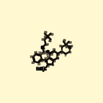 CCOC(=O)c1cc2cc(C3CCOC(C)(C)C3)ccc2n1-c1ccccc1C(=O)OCCS(C)(C)C